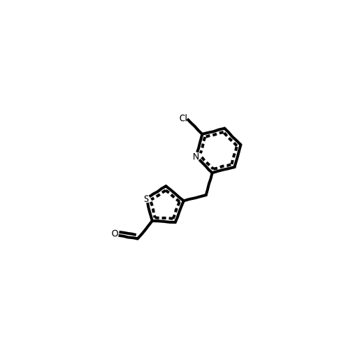 O=Cc1cc(Cc2cccc(Cl)n2)cs1